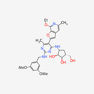 CCOc1nc(C)cc2cc(-c3c(C)nc(NCc4cc(OC)cc(OC)c4)nc3NC3C[C@H](CO)[C@@H](O)[C@H]3O)oc12